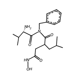 CC(C)CC(CC(=O)NO)C(=O)N(Cc1ccccc1)C(=O)[C@@H](N)C(C)C